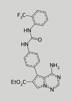 CCOC(=O)c1cn2ncnc(N)c2c1-c1ccc(NC(=O)Nc2ccccc2C(F)(F)F)cc1